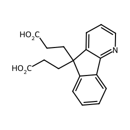 O=C(O)CCC1(CCC(=O)O)c2ccccc2-c2ncccc21